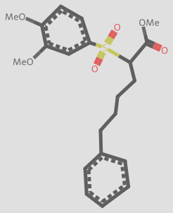 COC(=O)C(CCCCc1ccccc1)S(=O)(=O)c1ccc(OC)c(OC)c1